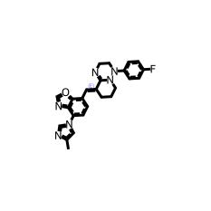 Cc1cn(-c2ccc(/C=C3\CCCN4C3=NCCN4c3ccc(F)cc3)c3ocnc23)cn1